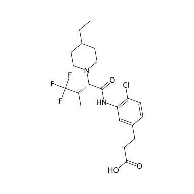 CCC1CCN([C@H](C(=O)Nc2cc(CCC(=O)O)ccc2Cl)C(C)C(F)(F)F)CC1